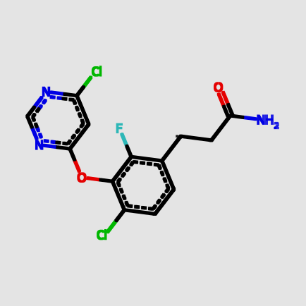 NC(=O)C[CH]c1ccc(Cl)c(Oc2cc(Cl)ncn2)c1F